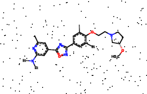 CCc1cc(-c2noc(-c3cc(C)nc(N(CC)CC)c3)n2)cc(C)c1OCCN1CC[C@H](OC(=O)O)C1